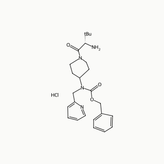 CC(C)(C)[C@H](N)C(=O)N1CCC(N(Cc2ccccn2)C(=O)OCc2ccccc2)CC1.Cl